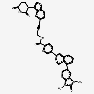 Cn1c(=O)n(C)c2ncc(-c3cccc4cc(-c5ccc(C(=O)NCC#Cc6ccc7occ(C8CCC(=O)NC8=O)c7c6)nc5)ncc34)cc21